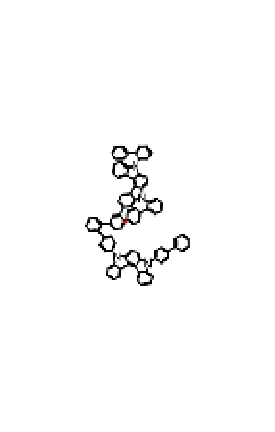 c1ccc(-c2ccc(-n3c4ccccc4c4c5c6ccccc6n(-c6ccc(-c7ccccc7-c7cccc(-c8ccc9c%10c%11c%12ccccc%12n(-c%12ccccc%12-c%12ccccc%12)c%11ccc%10n(-c%10ccccc%10-c%10ccccc%10)c9c8)c7)cc6)c5ccc43)cc2)cc1